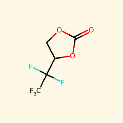 O=C1OCC(C(F)(F)C(F)(F)F)O1